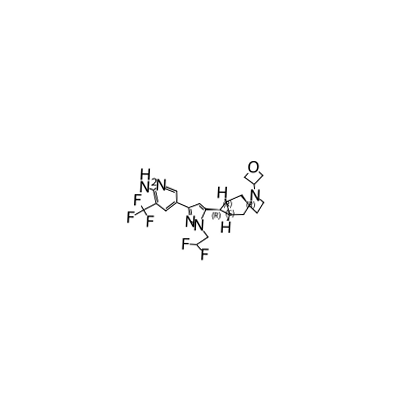 Nc1ncc(-c2cc([C@H]3[C@@H]4C[C@@]5(CCN5C5COC5)C[C@@H]43)n(CC(F)F)n2)cc1C(F)(F)F